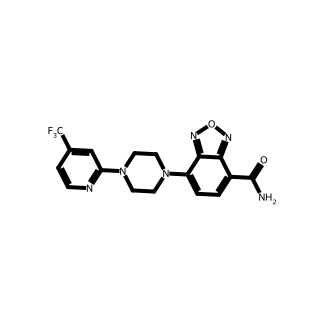 NC(=O)c1ccc(N2CCN(c3cc(C(F)(F)F)ccn3)CC2)c2nonc12